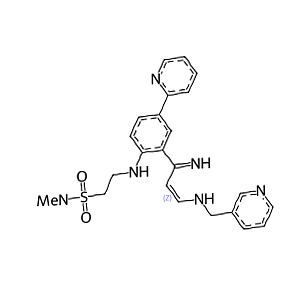 CNS(=O)(=O)CCNc1ccc(-c2ccccn2)cc1C(=N)/C=C\NCc1cccnc1